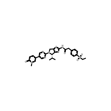 CCS(=O)(=O)c1ccc(CC(=O)Nc2nc3c(s2)CN(c2ncc(-c4ccc(=O)n(C)c4)cn2)[C@H]3C(C)C)cc1